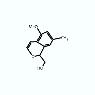 COc1cc(C)cc2c1C=COC2CO